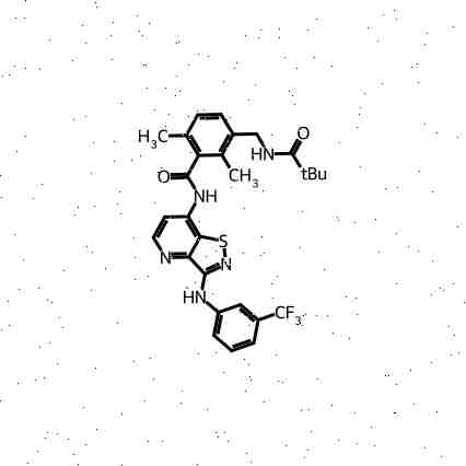 Cc1ccc(CNC(=O)C(C)(C)C)c(C)c1C(=O)Nc1ccnc2c(Nc3cccc(C(F)(F)F)c3)nsc12